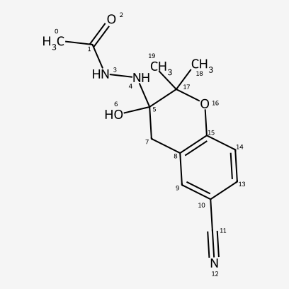 CC(=O)NNC1(O)Cc2cc(C#N)ccc2OC1(C)C